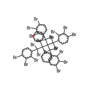 Brc1ccc(C(Br)(Br)C(c2ccccc2)(c2ccccc2)C(C(Br)(Br)c2ccc(Br)c(Br)c2Br)(C(Br)(Br)c2ccc(Br)c(Br)c2Br)C(Br)(Br)c2ccc(Br)c(Br)c2Br)c(Br)c1Br